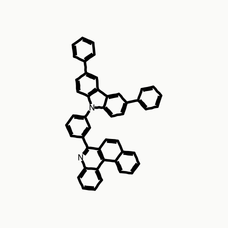 c1ccc(-c2ccc3c(c2)c2cc(-c4ccccc4)ccc2n3-c2cccc(-c3nc4ccccc4c4c3ccc3ccccc34)c2)cc1